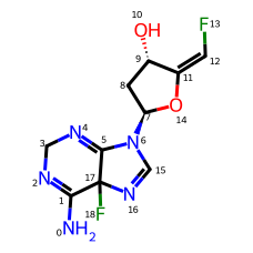 NC1=NCN=C2N([C@H]3C[C@H](O)/C(=C\F)O3)C=NC12F